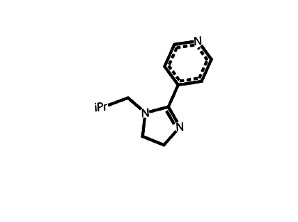 CC(C)CN1CCN=C1c1ccncc1